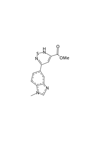 COC(=O)C1=CC(c2ccc3c(c2)ncn3C)=NSN1